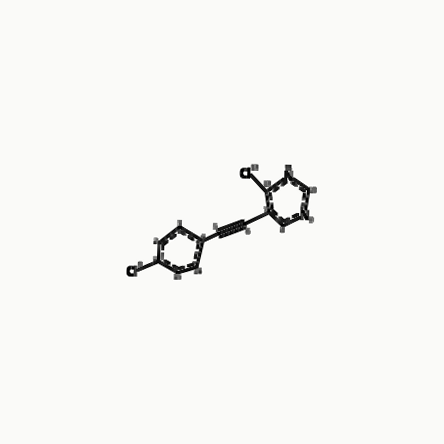 Clc1ccc(C#Cc2cncnc2Cl)cc1